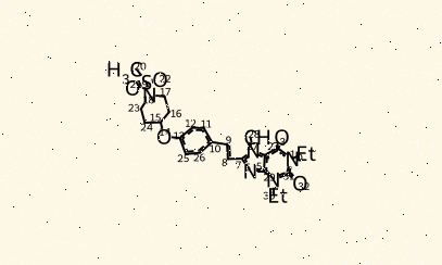 CCn1c(=O)c2c(nc(C=Cc3ccc(OC4CCN(S(C)(=O)=O)CC4)cc3)n2C)n(CC)c1=O